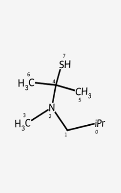 CC(C)CN(C)C(C)(C)S